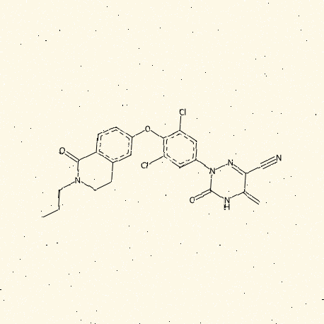 C=C1NC(=O)N(c2cc(Cl)c(Oc3ccc4c(c3)CCN(CCC)C4=O)c(Cl)c2)N=C1C#N